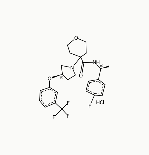 C[C@H](NC(=O)C1(N2CC[C@@H](Oc3cccc(C(F)(F)F)c3)C2)CCOCC1)c1ccc(F)cc1.Cl